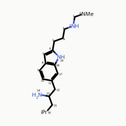 CNCNCCCc1cc2ccc(CC(N)CC(C)C)cc2[nH]1